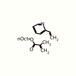 C=C(C)C(=O)OCCCCCCCC.C=Cc1ccccn1